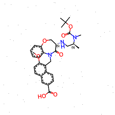 COc1ccc2cc(C(=O)O)ccc2c1CN1C(=O)[C@@H](NC[C@H](C)N(C)C(=O)OC(C)(C)C)COc2ccccc21